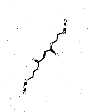 O=C=NCCOC(=O)C=CC(=O)OCCN=C=O